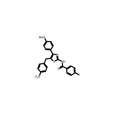 COc1ccc(-c2nc(NC(=O)c3ccc(F)cc3)sc2Cc2ccc([N+](=O)[O-])cc2)cc1